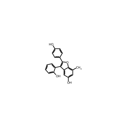 Cc1cc(O)cc2c(-c3ccccc3O)c(-c3ccc(O)cc3)oc12